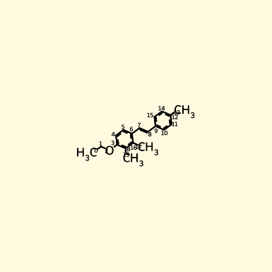 CCOc1ccc(C=Cc2ccc(C)cc2)c(C)c1C